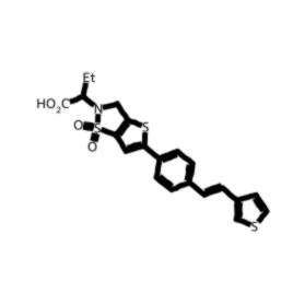 CCC(C(=O)O)N1Cc2sc(-c3ccc(/C=C/c4ccsc4)cc3)cc2S1(=O)=O